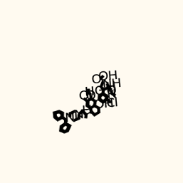 CC(=O)OC1C(C)=C[C@@H]2[C@H](C(C)CN3CCN(C(c4ccccc4)c4ccccc4)CC3)CC[C@@H](C)[C@]2(O)[C@H]1c1cc(Cl)c2c(c1)[C@]1(O)C[C@@H](C(=O)O)N[C@@H]1ON2C